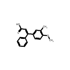 COc1ccc(C(=CC(O)=S)c2ccccc2)cc1C